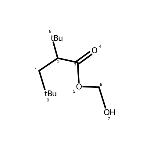 CC(C)(C)CC(C(=O)OCO)C(C)(C)C